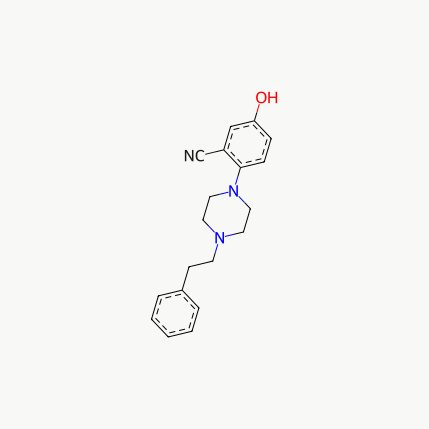 N#Cc1cc(O)ccc1N1CCN(CCc2ccccc2)CC1